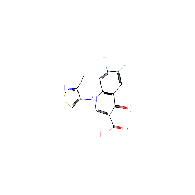 Cc1nscc1-n1cc(C(=O)O)c(=O)c2cc(F)c(F)cc21